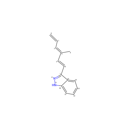 C=C/C=C(C)/C=C/c1n[nH]c2ccccc12